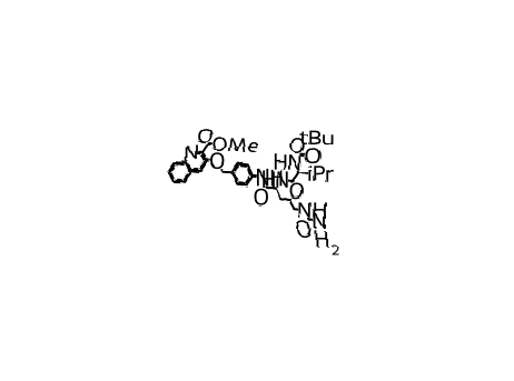 COC(=O)c1nc2ccccc2cc1OCc1ccc(NC(=O)[C@H](CCCNC(N)=O)NC(=O)[C@@H](NC(=O)OC(C)(C)C)C(C)C)cc1